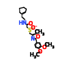 COc1ccc(-c2nc(C[S+]([O-])CC(=O)NCCC3=CCCCC3)c(C)o2)cc1OC